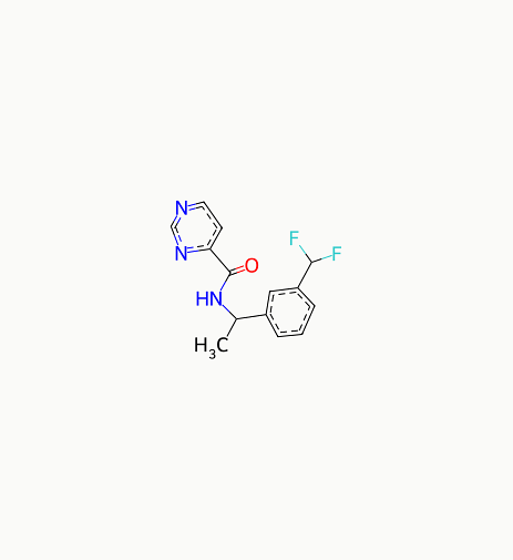 CC(NC(=O)c1ccncn1)c1cccc(C(F)F)c1